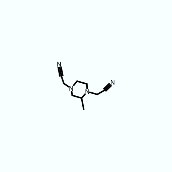 CC1CN(CC#N)CCN1CC#N